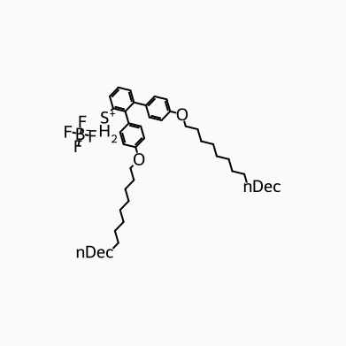 CCCCCCCCCCCCCCCCCCOc1ccc(-c2cccc([SH2+])c2-c2ccc(OCCCCCCCCCCCCCCCCCC)cc2)cc1.F[B-](F)(F)F